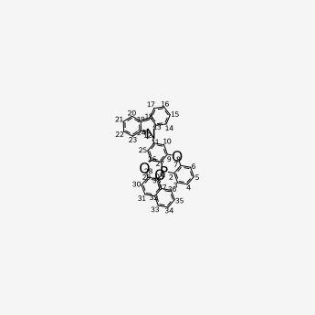 O=P12c3ccccc3Oc3cc(-n4c5ccccc5c5ccccc54)cc(c31)Oc1ccc3ccccc3c12